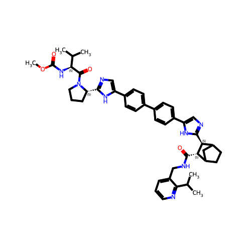 COC(=O)N[C@H](C(=O)N1CCC[C@H]1c1ncc(-c2ccc(-c3ccc(-c4cnc([C@H]5C6CCC(C6)[C@@H]5C(=O)NCc5cccnc5C(C)C)[nH]4)cc3)cc2)[nH]1)C(C)C